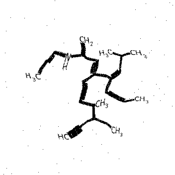 C#CC(C)C(C)\C=C/C(=C\C(=C)N/C=C\C)C(/C=C\C)=C\C(C)C